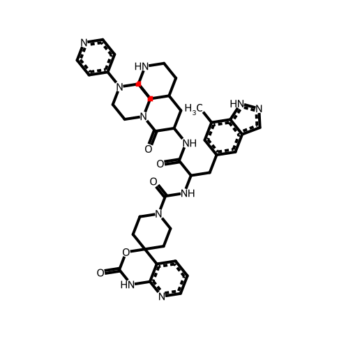 Cc1cc(CC(NC(=O)N2CCC3(CC2)OC(=O)Nc2ncccc23)C(=O)NC(CC2CCNCC2)C(=O)N2CCN(c3ccncc3)CC2)cc2cn[nH]c12